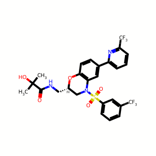 CC(C)(O)C(=O)NC[C@H]1CN(S(=O)(=O)c2cccc(C(F)(F)F)c2)c2cc(-c3cccc(C(F)(F)F)n3)ccc2O1